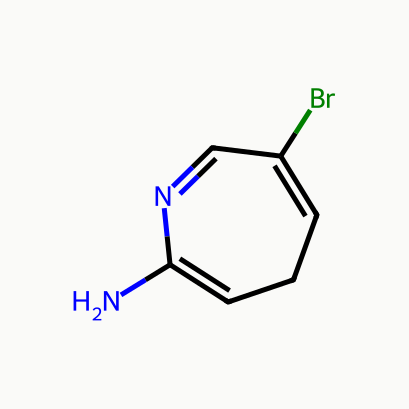 NC1=CCC=C(Br)C=N1